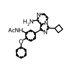 CC(=O)Nc1cc(-c2nc(C3CCC3)n3ccnc(N)c23)ccc1Oc1ccccc1